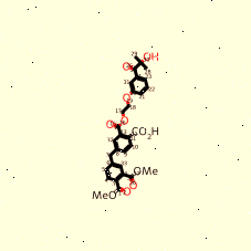 COC(=O)c1ccc(Cc2ccc(C(=O)O)c(C(=O)OCCOc3cccc(C(=O)C(C)(C)O)c3)c2)cc1C(=O)OC